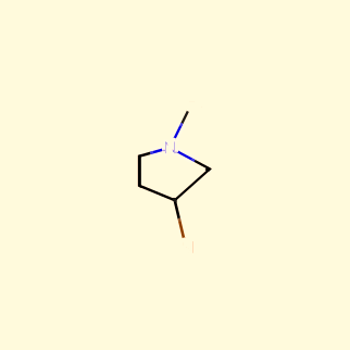 CCN1CCC(S)C1